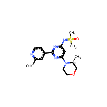 C[C@@H]1COCCN1c1cc(N=S(C)(C)=O)nc(-c2ccnc(C=O)c2)n1